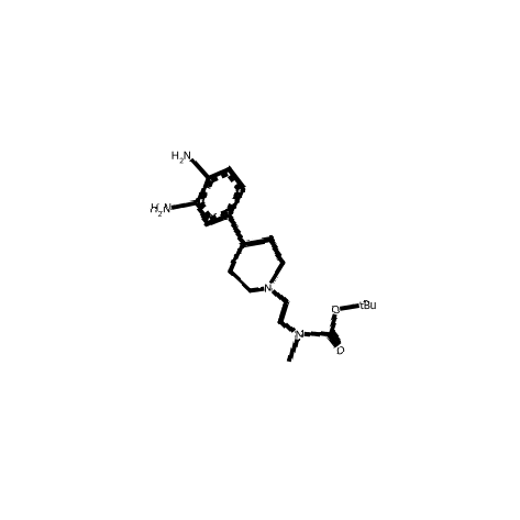 CN(CCN1CCC(c2ccc(N)c(N)c2)CC1)C(=O)OC(C)(C)C